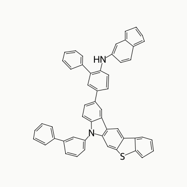 c1ccc(-c2cccc(-n3c4ccc(-c5ccc(Nc6ccc7ccccc7c6)c(-c6ccccc6)c5)cc4c4cc5c(cc43)sc3ccccc35)c2)cc1